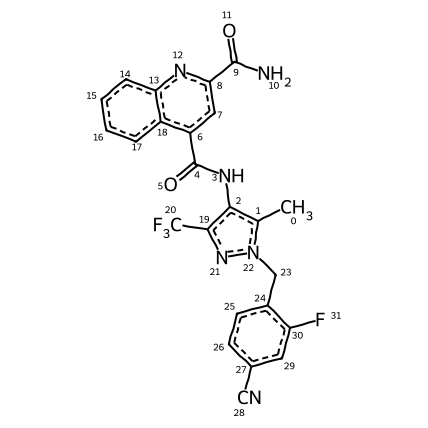 Cc1c(NC(=O)c2cc(C(N)=O)nc3ccccc23)c(C(F)(F)F)nn1Cc1ccc(C#N)cc1F